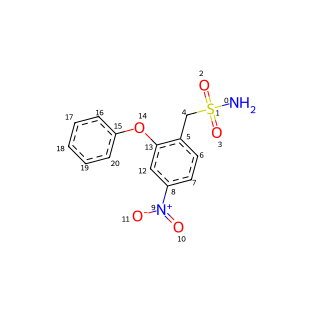 NS(=O)(=O)Cc1ccc([N+](=O)[O-])cc1Oc1ccccc1